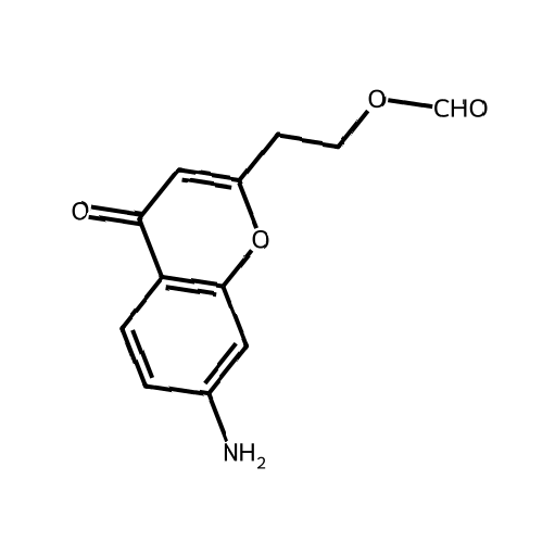 Nc1ccc2c(=O)cc(CCOC=O)oc2c1